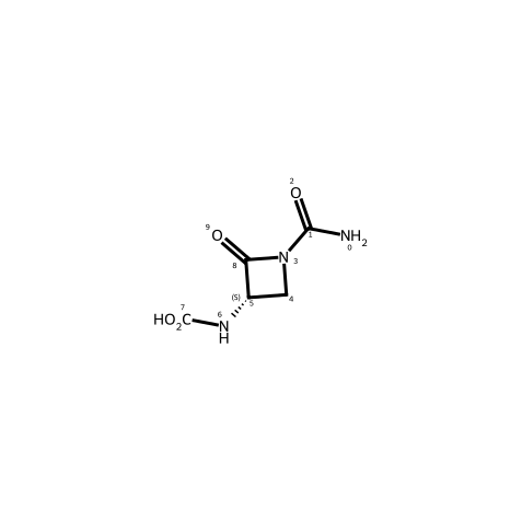 NC(=O)N1C[C@H](NC(=O)O)C1=O